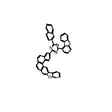 c1ccc2cc(-c3nc(-c4ccc5c(ccc6ccc7cc8oc9ccccc9c8cc7c65)c4)nc(-c4cccc5sc6ccccc6c45)n3)ccc2c1